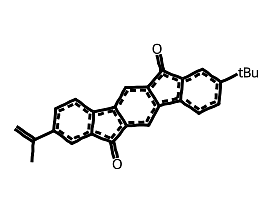 C=C(C)c1ccc2c(c1)c(=O)c1cc3c(cc12)c(=O)c1cc(C(C)(C)C)ccc13